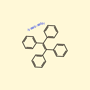 [N-]=[N+]=N.c1ccc(C(=C(c2ccccc2)c2ccccc2)c2ccccc2)cc1